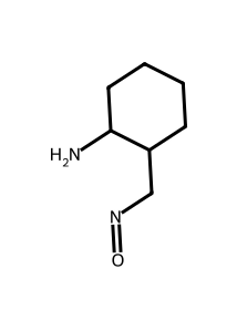 NC1CCCCC1CN=O